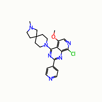 COc1cnc(Cl)c2nc(-c3ccncc3)nc(N3CCC4(CCN(C)C4)CC3)c12